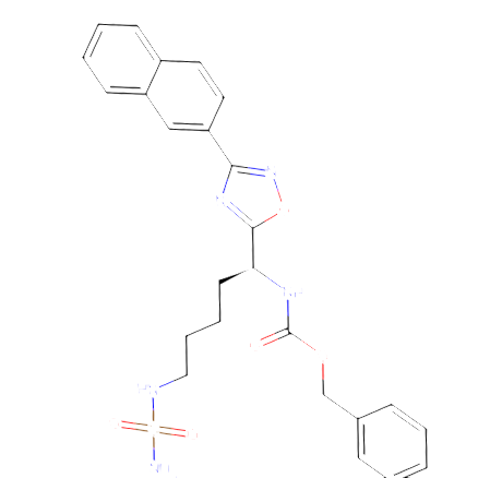 NS(=O)(=O)NCCCC[C@H](NC(=O)OCc1ccccc1)c1nc(-c2ccc3ccccc3c2)no1